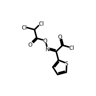 O=C(Cl)C(=NOC(=O)C(Cl)Cl)c1cccs1